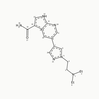 CCN(CC)CCn1cc(-c2cnc3[nH]cc(C(N)=O)c3c2)cn1